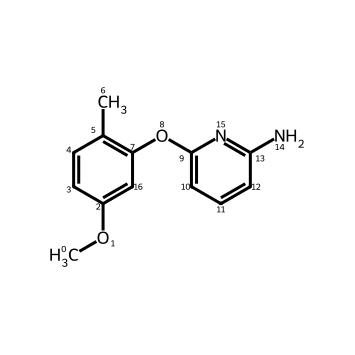 COc1ccc(C)c(Oc2cccc(N)n2)c1